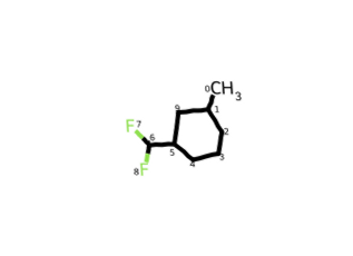 CC1CCCC([C](F)F)C1